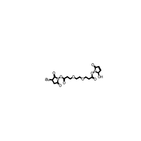 CCC(C)C1CC(=O)N(OC(=O)CCOCCOCCC(=O)ON2C(=O)C=CC2O)C1=O